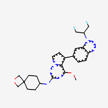 COc1nc(NC2CCC3(CC2)COC3)nn2ccc(-c3ccc4nnn(C(CF)CF)c4c3)c12